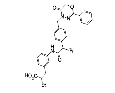 CCC(Cc1cccc(NC(=O)C(c2ccc(CN3N=C(c4ccccc4)OCC3=O)cc2)C(C)C)c1)C(=O)O